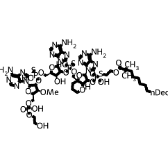 CCCCCCCCCCCCCCCCC(C)(C)C(=O)OCCSP(=O)(O)OC1[C@H](n2cnc3c(N)ncnc32)O[C@@]2(COP(O)(=S)OC3[C@@H](O)[C@@H](COP(O)(=S)OC4[C@@H](OC)[C@@H](COP(=O)(O)OCCO)O[C@H]4n4cnc5c(N)ncnc54)O[C@H]3n3cnc4c(N)ncnc43)CCCO[C@H]12